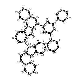 c1ccc(-c2nc(-c3ccccc3)nc(-c3cc4ccccc4c4c3oc3c(-n5c6ccccc6c6c7ccccc7ccc65)cccc34)n2)cc1